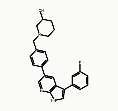 OC1CCCN(Cc2ccc(-c3cnc4[nH]cc(-c5cccc(F)c5)c4c3)cc2)C1